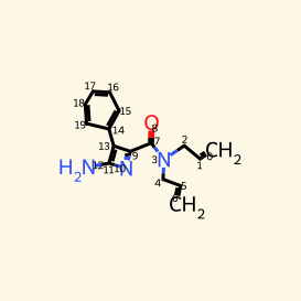 C=CCN(CC=C)C(=O)C1=NC(N)=C1c1ccccc1